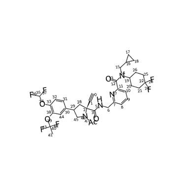 C#C[C@]1(C(=O)NCc2cccc(C(=O)N(CC3CC3)C3CCC(F)(F)CC3)n2)CC(c2ccc(OC(F)F)c(OC(C)(F)F)c2)CN1C(C)=O